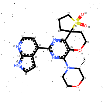 C[C@@H]1COCCN1c1nc(-c2ccnc3[nH]ccc23)nc2c1OCCC21CCCS1(=O)=O